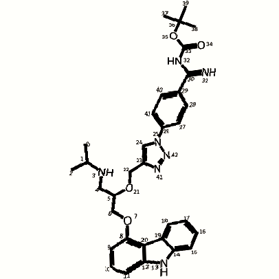 CC(C)NCC(COc1cccc2[nH]c3ccccc3c12)OCc1cn(-c2ccc(C(=N)NC(=O)OC(C)(C)C)cc2)nn1